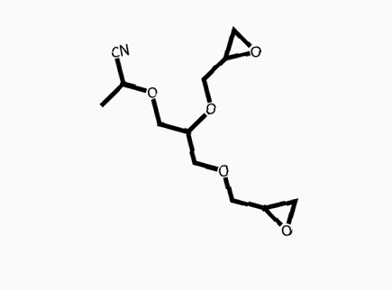 CC(C#N)OCC(COCC1CO1)OCC1CO1